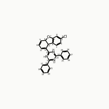 Clc1ccc2c(c1)OC1C=CC=C(c3nc(-c4ccccc4)nc(-c4ccccc4)n3)C21